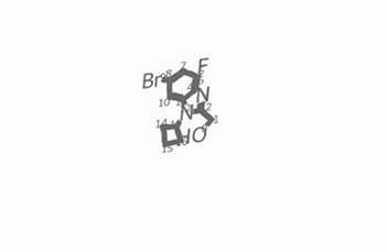 OCc1nc2c(F)cc(Br)cc2n1C1CCC1